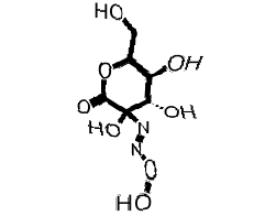 O=C1OC(CO)[C@@H](O)[C@H](O)C1(O)N=NOO